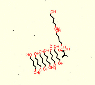 C=C(C)C(=O)O.OCCCCO.OCCCCO.OCCCCO.OCCCCO.OCCCCO.OCCCCO.OCCCCO.OCCCCO